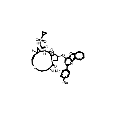 CC(=O)N[C@H]1CCCCC/C=C\[C@@H]2C[C@@]2(C(=O)NS(=O)(=O)C2CC2)NC(=O)[C@@H]2C[C@@H](Oc3nc(-c4ccc(C(C)(C)C)cc4)nc4c3oc3ccccc34)CN2C1=O